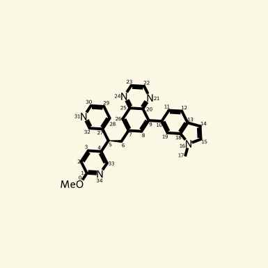 COc1ccc([C@H](Cc2cc(-c3ccc4ccn(C)c4c3)c3nccnc3c2)c2cccnc2)cn1